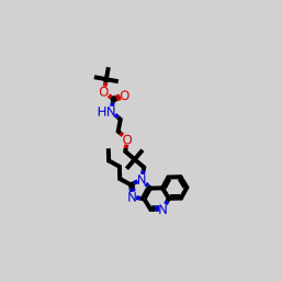 CCCCc1nc2cnc3ccccc3c2n1CC(C)(C)COCCNC(=O)OC(C)(C)C